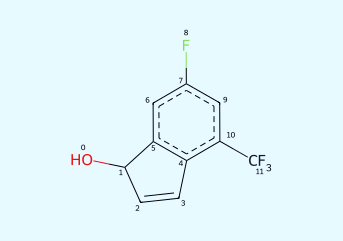 OC1C=Cc2c1cc(F)cc2C(F)(F)F